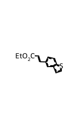 CCOC(=O)C=Cc1ccc2sccc2c1